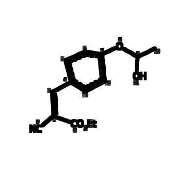 CCOC(=O)/C(C#N)=C\c1ccc(OC(C)O)cc1